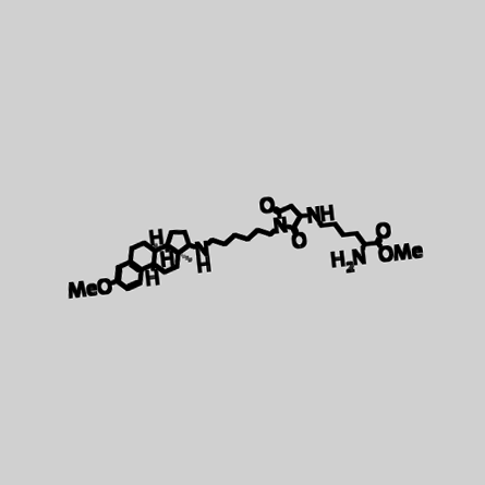 COC(=O)[C@@H](N)CCCCNC1CC(=O)N(CCCCCCNC2CC[C@H]3[C@@H]4CCc5cc(OC)ccc5[C@H]4CC[C@]23C)C1=O